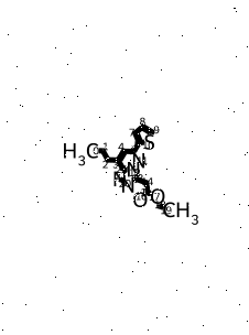 CCCc1cc(-c2cccs2)nn2c(CC(=O)OCC)nnc12